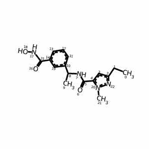 CCc1cc(C(=O)NC(C)c2cccc(C(=O)NO)c2)n(C)n1